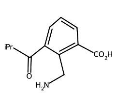 CC(C)C(=O)c1cccc(C(=O)O)c1CN